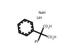 CC(C)C(C(=O)O)(C(=O)O)c1ccccc1.[LiH].[NaH]